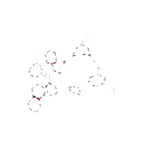 CC(C)(C)c1cc2cc(c1)C(C)(C)C(C)(C)c1cc(cc(C(C)(C)C)c1)-c1ccc3c(c1)B1c4cc-2ccc4Oc2cc(-c4ccccc4)cc(c21)N3c1c(-c2ccccc2F)cccc1-c1ccccc1F